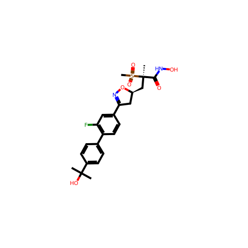 CC(C)(O)c1ccc(-c2ccc(C3=NO[C@@H](C[C@](C)(C(=O)NO)S(C)(=O)=O)C3)cc2F)cc1